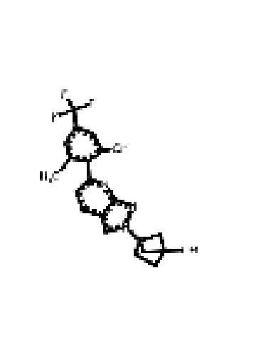 Cc1cc(C(F)(F)F)cc(O)c1-c1ccc2cn(C34CCC(O)(C3)C4)nc2n1